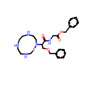 O=C(CNC(=O)C(COCc1ccccc1)N1CCNCCNCCNCC1)OCc1ccccc1